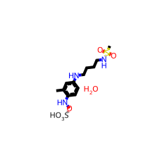 Cc1cc(NCCCCNS(C)(=O)=O)ccc1NOS(=O)(=O)O.O